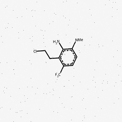 CNc1ccc(C(F)(F)F)c(CCCl)c1N